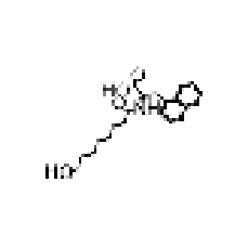 O=C(CCCCCCCO)N[C@@H](Cc1cccc2ccccc12)C(=O)O